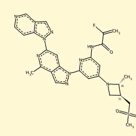 C=C(F)C(=O)Nc1cc(N2C[C@H](CS(C)(=O)=O)[C@H]2C)cc(-n2ncc3c(C)nc(-n4ncc5cnccc54)cc32)n1